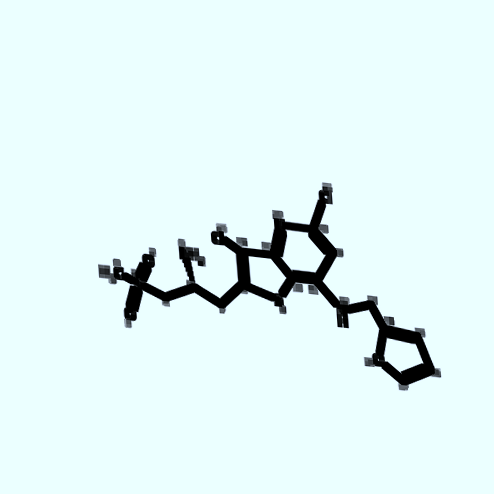 CS(=O)(=O)C[C@H](N)Cc1sc2c(NCc3ccco3)cc(Cl)nc2c1Cl